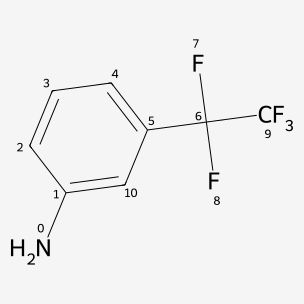 Nc1cccc(C(F)(F)C(F)(F)F)c1